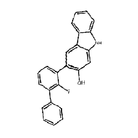 Oc1cc2[nH]c3ccccc3c2cc1-c1cccc(-c2ccccc2)c1F